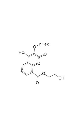 CCCCCCOc1c(O)c2cccc(C(=O)OCCO)c2oc1=O